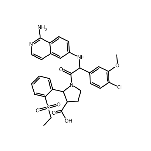 CCS(=O)(=O)c1ccccc1C1C(C(=O)O)CCN1C(=O)C(Nc1ccc2c(N)nccc2c1)c1ccc(Cl)c(OC)c1